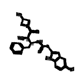 O=C(N[C@@H](Cc1ccccc1)[C@@H](O)C(=O)N1CC(O)C1)Oc1cc2cc(Cl)ccc2[nH]1